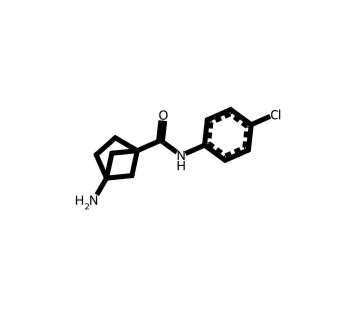 NC12CCC(C(=O)Nc3ccc(Cl)cc3)(C1)C2